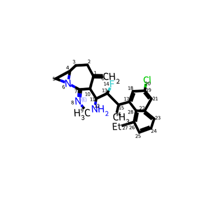 C=C1CCC2CN2/C(=N/C)C1C(N)C(F)C(C)c1cc(Cl)cc2cccc(CC)c12